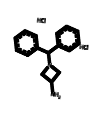 Cl.Cl.NC1CN(C(c2ccccc2)c2ccccc2)C1